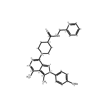 COc1ccc(-n2nc3c(N4CCC(C(=O)NCc5ccccn5)CC4)nnc(C)c3c2C)cc1